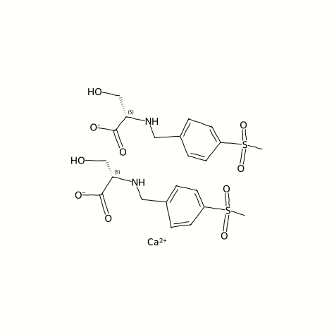 CS(=O)(=O)c1ccc(CN[C@@H](CO)C(=O)[O-])cc1.CS(=O)(=O)c1ccc(CN[C@@H](CO)C(=O)[O-])cc1.[Ca+2]